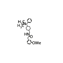 COc1cccc(CC(=O)NCC2CCC(C(c3ccccc3)N(C)C)CC2)c1